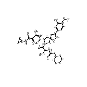 CCC[C@H](NC(=O)[C@@H]1C[C@]2(CC(c3ccc(OCC)c(Cl)c3)=NO2)CN1C(=O)[C@@H](NC(=O)CC1CCCCC1)C(C)(C)C)C(=O)C(=O)NC1CC1